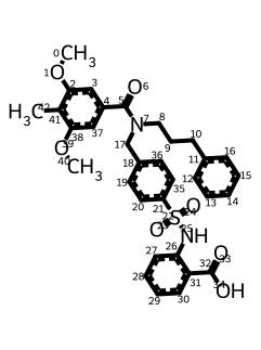 COc1cc(C(=O)N(CCCc2ccccc2)Cc2ccc(S(=O)(=O)Nc3ccccc3C(=O)O)cc2)cc(OC)c1C